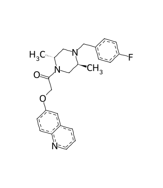 C[C@@H]1CN(Cc2ccc(F)cc2)[C@@H](C)CN1C(=O)COc1ccc2ncccc2c1